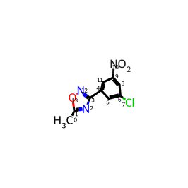 Cc1nc(-c2cc(Cl)cc([N+](=O)[O-])c2)no1